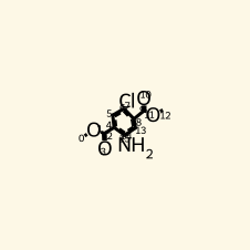 COC(=O)c1cc(Cl)c(C(=O)OC)cc1N